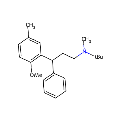 COc1ccc(C)cc1C(CCN(C)C(C)(C)C)c1ccccc1